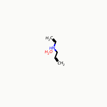 C=CCNC=C.O